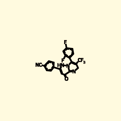 N#Cc1ccc(C2=CC(=O)C3=NCC(C(F)(F)F)=C(c4ccc(F)cc4F)N3N2)cc1